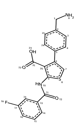 NCc1ccc(-c2csc(NC(=O)c3cccc(F)c3)c2C(=O)O)cc1